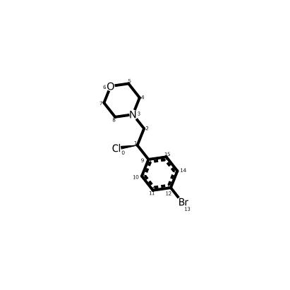 Cl[C@@H](CN1CCOCC1)c1ccc(Br)cc1